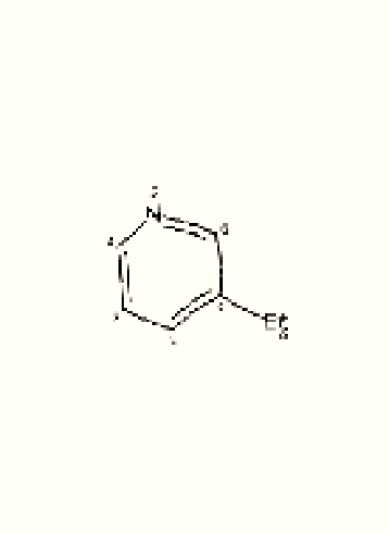 [CH]Cc1cccnc1